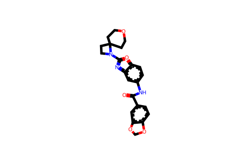 O=C(Nc1ccc2oc(N3CCC34CCOCC4)nc2c1)c1ccc2c(c1)OCO2